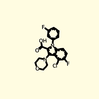 O=C(O)c1c(N2CCOCC2)c2c(Cl)c(F)ccc2n1-c1cccc(F)c1